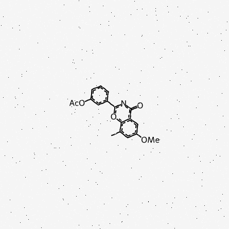 COc1cc(C)c2oc(-c3cccc(OC(C)=O)c3)nc(=O)c2c1